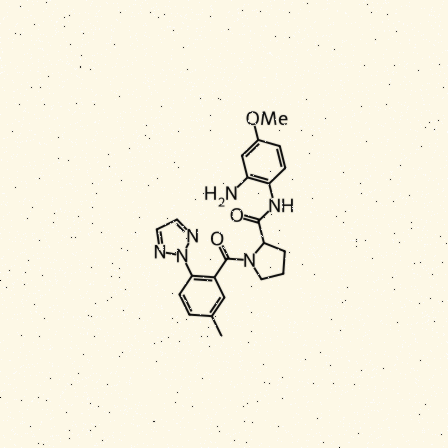 COc1ccc(NC(=O)C2CCCN2C(=O)c2cc(C)ccc2-n2nccn2)c(N)c1